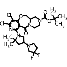 CC(C)(C)OC(=O)N1CCN2C(=O)c3c(N4CC(N5CCC(F)(F)C5)CC4(C)C)nc(Cl)c(Cl)c3OCC2C1